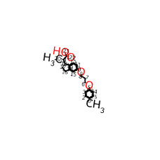 Cc1ccc(OCCCOc2ccc3c(c2)CC[C@H]3[C@H](C)C(=O)O)cc1